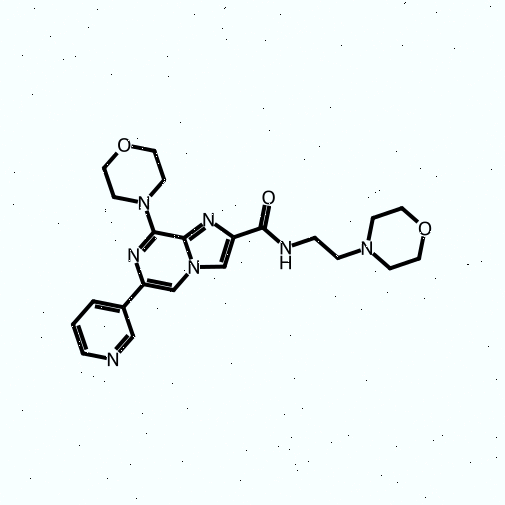 O=C(NCCN1CCOCC1)c1cn2cc(-c3cccnc3)nc(N3CCOCC3)c2n1